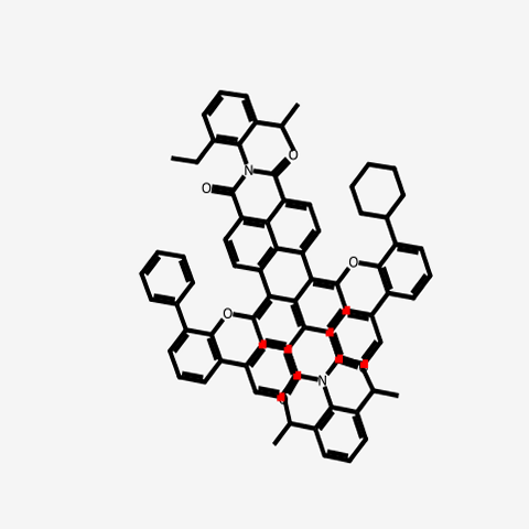 CCc1cccc(C(C)C)c1N1C(=O)c2ccc3c4c(Oc5c(-c6ccccc6)cccc5-c5ccccc5)cc5c6c(cc(Oc7c(-c8ccccc8)cccc7C7CCCCC7)c(c7ccc(c2c37)C1=O)c64)C(=O)N(c1c(C(C)C)cccc1C(C)C)C5=O